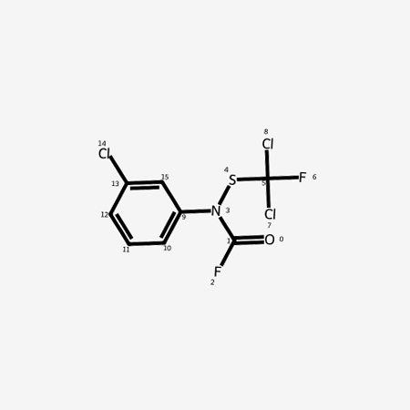 O=C(F)N(SC(F)(Cl)Cl)c1cccc(Cl)c1